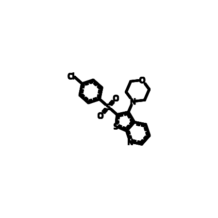 O=S(=O)(c1ccc(Cl)cc1)c1sc2ncccc2c1N1CCOCC1